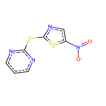 O=[N+]([O-])c1cnc(Sc2ncccn2)s1